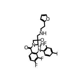 O=C(c1ccc(F)c(F)c1Nc1ccc(I)cc1F)N1CC(O)(CNCCc2ccco2)C1